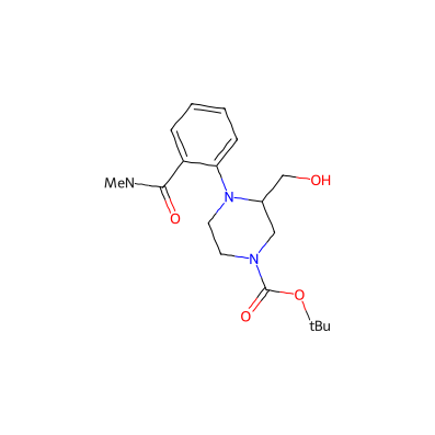 CNC(=O)c1ccccc1N1CCN(C(=O)OC(C)(C)C)CC1CO